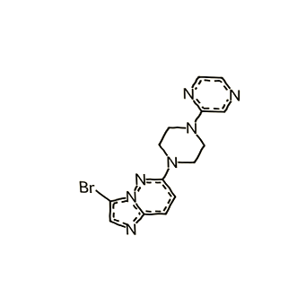 Brc1cnc2ccc(N3CCN(c4cnccn4)CC3)nn12